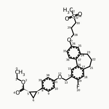 CCOC(=O)[C@H]1C[C@@H]1c1ccc(OCc2cc3c(cc2F)CCCc2cc(OCCCS(C)(=O)=O)ccc2-3)cc1